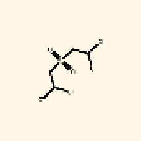 O=S(=O)(CC(Cl)Cl)CC(Cl)Cl